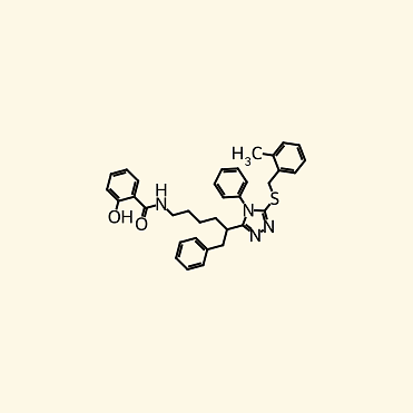 Cc1ccccc1CSc1nnc(C(CCCCNC(=O)c2ccccc2O)Cc2ccccc2)n1-c1ccccc1